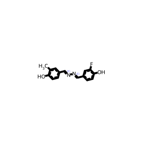 Cc1cc(/C=N/N=C/c2ccc(O)c(F)c2)ccc1O